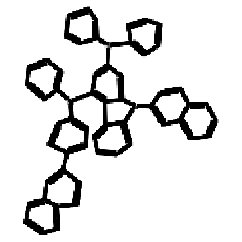 c1ccc(N(c2ccccc2)c2cc(N(c3ccccc3)c3ccc(-c4ccc5ccccc5c4)cc3)c3c4ccccc4n(-c4ccc5ccccc5c4)c3c2)cc1